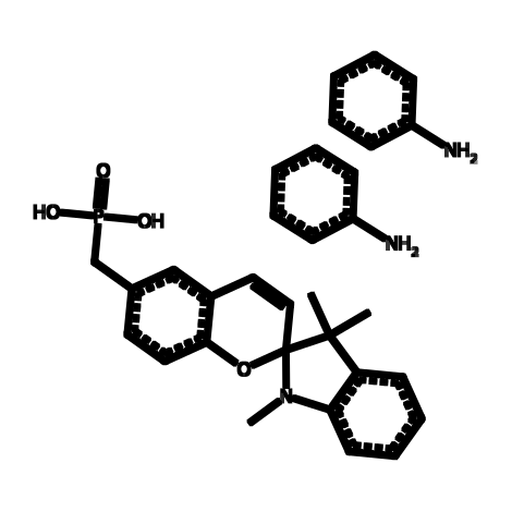 CN1c2ccccc2C(C)(C)C12C=Cc1cc(CP(=O)(O)O)ccc1O2.Nc1ccccc1.Nc1ccccc1